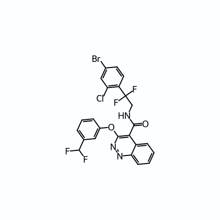 O=C(NCC(F)(F)c1ccc(Br)cc1Cl)c1c(Oc2cccc(C(F)F)c2)nnc2ccccc12